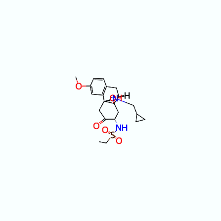 CCS(=O)(=O)N[C@H]1C[C@@]2(O)[C@H]3Cc4ccc(OC)cc4[C@@]2(CCN3CC2CC2)CC1=O